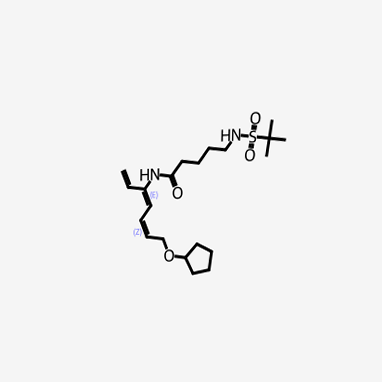 C=C/C(=C\C=C/COC1CCCC1)NC(=O)CCCCNS(=O)(=O)C(C)(C)C